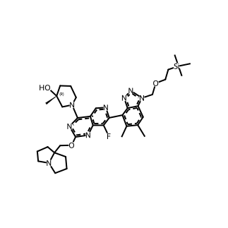 Cc1cc2c(nnn2COCC[Si](C)(C)C)c(-c2ncc3c(N4CCC[C@@](C)(O)C4)nc(OCC45CCCN4CCC5)nc3c2F)c1C